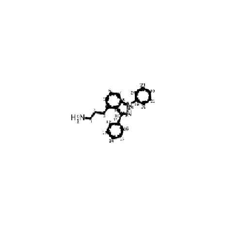 NCCCc1cccc2c1c(-c1ccccc1)nn2-c1ccccc1